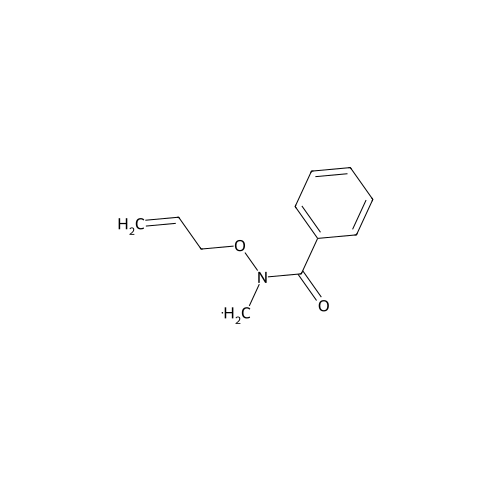 [CH2]N(OCC=C)C(=O)c1ccccc1